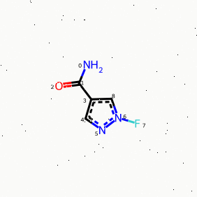 NC(=O)c1cnn(F)c1